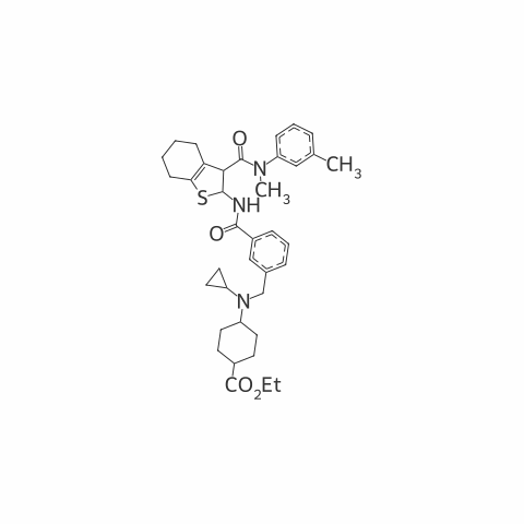 CCOC(=O)C1CCC(N(Cc2cccc(C(=O)NC3SC4=C(CCCC4)C3C(=O)N(C)c3cccc(C)c3)c2)C2CC2)CC1